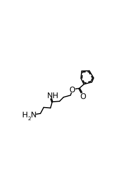 N=C(CCCN)CCCOC(=O)c1ccccc1